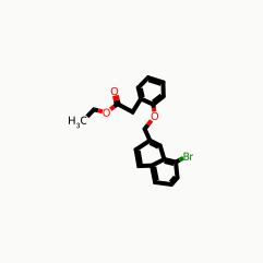 CCOC(=O)Cc1ccccc1OCc1ccc2cccc(Br)c2c1